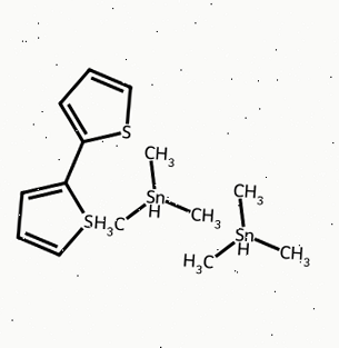 [CH3][SnH]([CH3])[CH3].[CH3][SnH]([CH3])[CH3].c1csc(-c2cccs2)c1